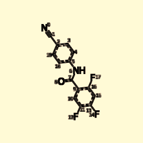 N#Cc1ccc(NC(=O)c2cc(F)c(F)cc2F)cc1